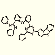 c1ccc(-c2nc(-c3ccc4sc5ccccc5c4c3)nc(-c3cccc4c3oc3c(-c5nc6ccccc6n5-c5ccccc5)cccc34)n2)cc1